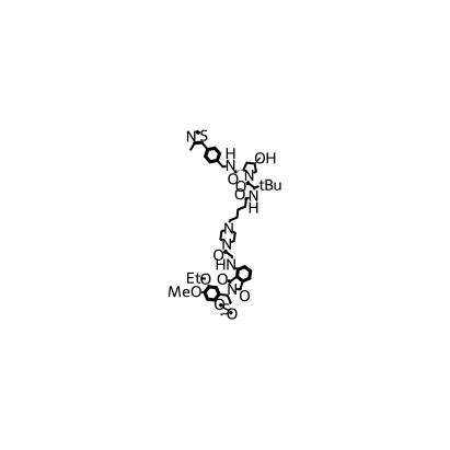 CCOc1cc(C(CS(C)(=O)=O)N2C(=O)c3cccc(NCC(=O)N4CCN(CCCCC(=O)NC(C(=O)N5C[C@H](O)C[C@H]5C(=O)NCc5ccc(-c6scnc6C)cc5)C(C)(C)C)CC4)c3C2=O)ccc1OC